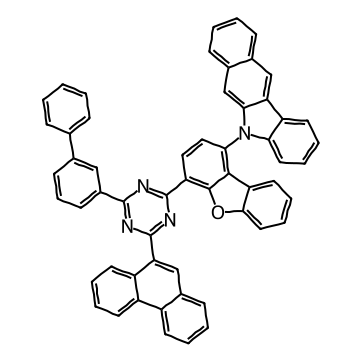 c1ccc(-c2cccc(-c3nc(-c4cc5ccccc5c5ccccc45)nc(-c4ccc(-n5c6ccccc6c6cc7ccccc7cc65)c5c4oc4ccccc45)n3)c2)cc1